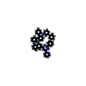 c1ccc(-c2cccc(-n3c4ccccc4c4c5c6ccccc6n(-c6cc(-c7cc(-c8ccccc8)nc(-c8ccccc8)n7)cc7ccccc67)c5ccc43)c2)cc1